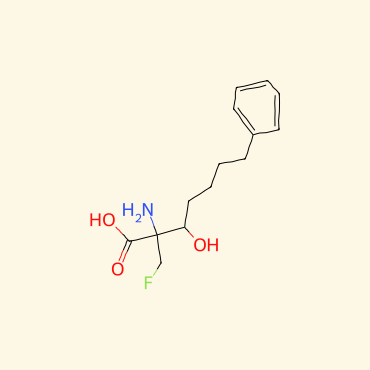 NC(CF)(C(=O)O)C(O)CCCCc1ccccc1